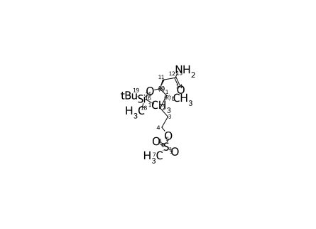 C[C@H](CCCOS(C)(=O)=O)[C@H](CC(N)=O)O[Si](C)(C)C(C)(C)C